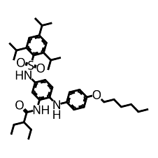 CCCCCCOc1ccc(Nc2ccc(NS(=O)(=O)c3c(C(C)C)cc(C(C)C)cc3C(C)C)cc2NC(=O)C(CC)CC)cc1